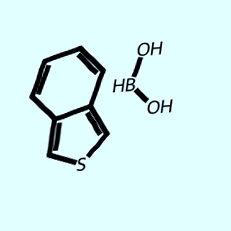 OBO.c1ccc2cscc2c1